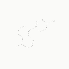 Nc1ccc(-c2cccc3c([N+](=O)[O-])nccc23)cc1